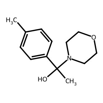 Cc1ccc(C(C)(O)N2CCOCC2)cc1